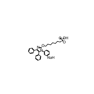 O=S(=O)(O)CCCCCCCOc1nc(-c2ccccc2)c(-c2ccccc2)n1-c1ccccc1.[NaH]